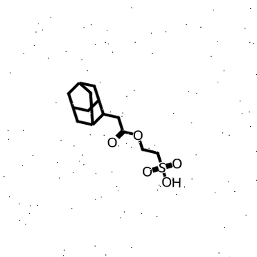 O=C(CC1C2CC3CC(C2)CC1C3)OCCS(=O)(=O)O